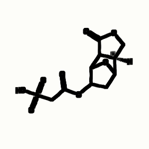 O=C(CS(=O)(=O)O)OC1CC2OC1C1C(=O)OC[C@@H]21